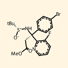 COC(=O)C[C@](N[S@+]([O-])C(C)(C)C)(c1ccc(Br)cc1)c1ncccc1F